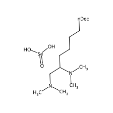 CCCCCCCCCCCCCCC(CN(C)C)N(C)C.O=[Se](O)O